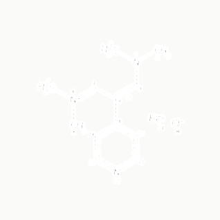 CN(C)/C=C(\C=[N+](C)C)c1ccncc1.Cl.[Cl-]